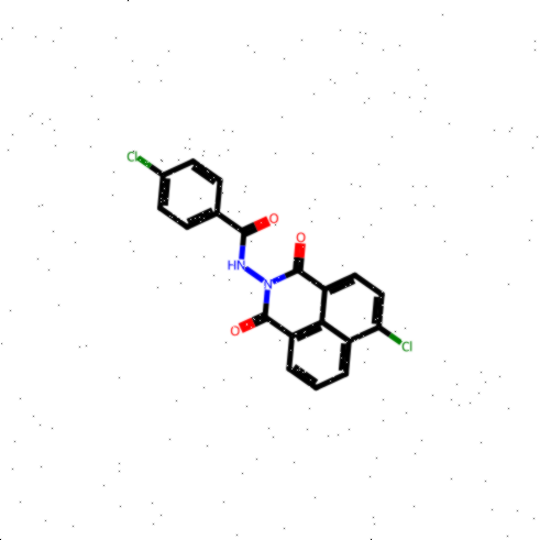 O=C(NN1C(=O)c2cccc3c(Cl)ccc(c23)C1=O)c1ccc(Cl)cc1